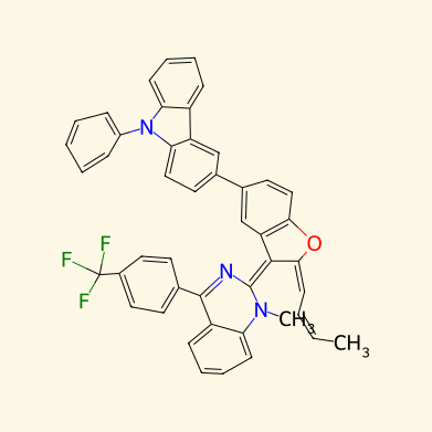 C\C=C/C=c1/oc2ccc(-c3ccc4c(c3)c3ccccc3n4-c3ccccc3)cc2/c1=C1\N=C(c2ccc(C(F)(F)F)cc2)c2ccccc2N1C